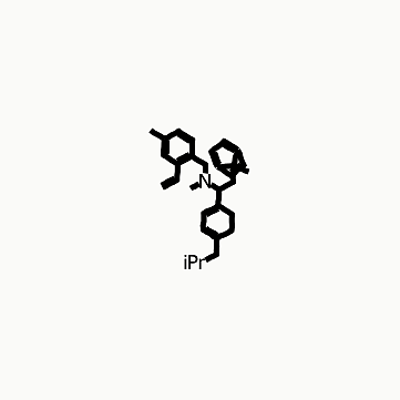 C=Cc1cc(C)ccc1CN(C)C(CC1(C)C2=CC=C1C=C2)C1=CC=C(CC(C)C)CC1